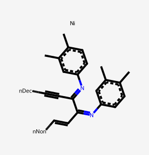 CCCCCCCCCC=CC(=Nc1ccc(C)c(C)c1)C(C#CCCCCCCCCCC)=Nc1ccc(C)c(C)c1.[Ni]